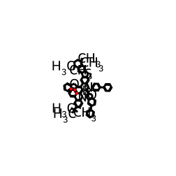 CC(C)(C)c1ccc(N2c3cc4c(oc5ccccc54)c4c3B(c3oc5ccc(-c6ccccc6)cc5c32)N(c2ccc(-c3ccccc3)cc2)c2cc3sc5cc6c(cc5c3cc2-4)C(C)(C)CCC6(C)C)c(-c2ccccc2)c1